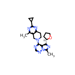 Cc1nc(C2CC2)nc2c1CN(c1ncnn3c(C)nc([C@@H]4CCCO4)c13)CC2